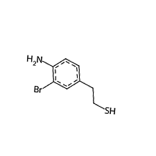 Nc1ccc(CCS)cc1Br